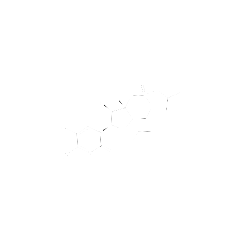 CC(C)OP1(=O)OC[C@@]2(C(F)F)O[C@@H](n3cc(Cl)c(N)nc3=O)[C@@H](F)[C@@H]2O1